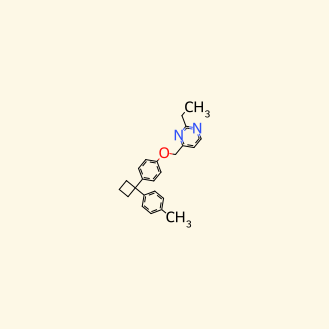 CCc1nccc(COc2ccc(C3(c4ccc(C)cc4)CCC3)cc2)n1